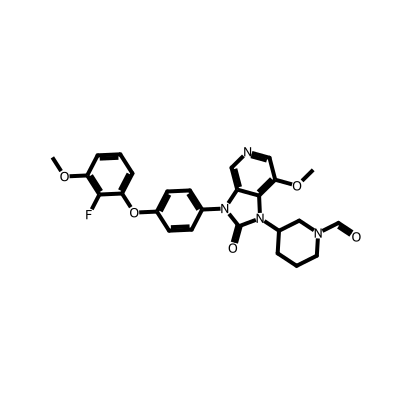 COc1cccc(Oc2ccc(-n3c(=O)n(C4CCCN(C=O)C4)c4c(OC)cncc43)cc2)c1F